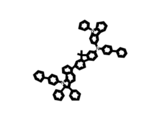 CC1(C)c2cc(-c3cccc4c3ccc3c(-c5ccccc5)c(-c5ccccc5)n(-c5ccc(-c6ccccc6)cc5)c34)ccc2-c2ccc(N(c3ccc(-c4ccccc4)cc3)c3ccc4c(c3)c3ccccc3n4-c3ccccc3)cc21